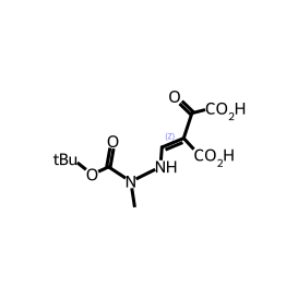 CN(N/C=C(\C(=O)O)C(=O)C(=O)O)C(=O)OC(C)(C)C